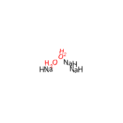 O.O.[NaH].[NaH].[NaH]